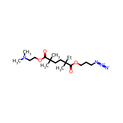 CCC(C)(CCC(C)(C)C(=O)OCCN(C)C)C(=O)OCCCN=[N+]=[N-]